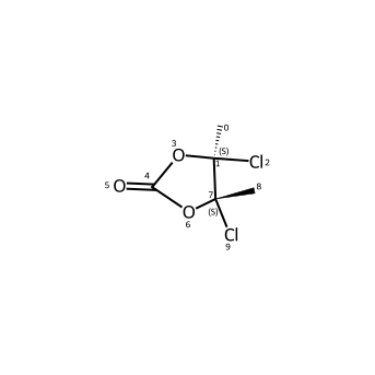 C[C@@]1(Cl)OC(=O)O[C@@]1(C)Cl